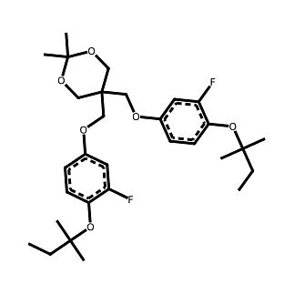 CCC(C)(C)Oc1ccc(OCC2(COc3ccc(OC(C)(C)CC)c(F)c3)COC(C)(C)OC2)cc1F